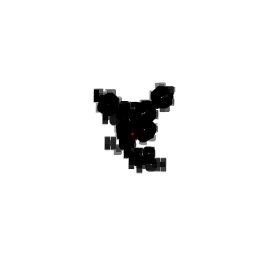 CCOc1ccccc1C1(N2CCN(c3ccncc3)CC2)C(=O)N(S(=O)(=O)c2ccc(F)cc2F)c2ccc(C#N)cc21.O=C(O)C(F)(F)F